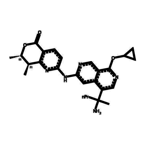 CCCC(C)(N)c1cnc(OC2CC2)c2cnc(Nc3ccc4c(n3)[C@@H](C)[C@H](C)OC4=O)cc12